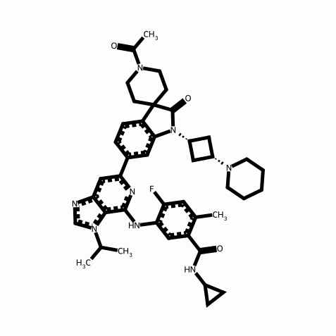 CC(=O)N1CCC2(CC1)C(=O)N([C@H]1C[C@@H](N3CCCCC3)C1)c1cc(-c3cc4ncn(C(C)C)c4c(Nc4cc(C(=O)NC5CC5)c(C)cc4F)n3)ccc12